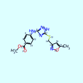 COC(=O)c1ccc(Nc2n[nH]c(SCc3cc(C)on3)n2)cc1